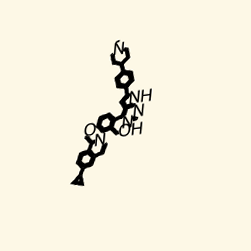 CN1CCC(c2ccc(-c3cc4c(-c5cccc(N6C=Cc7cc(C8CC8)ccc7C6C=O)c5CO)ncnc4[nH]3)cc2)CC1